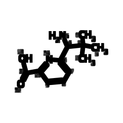 CC(C)(C)C(N)c1cccc(C(=O)O)n1